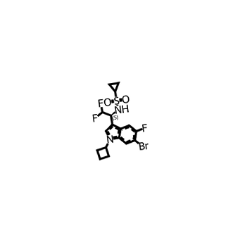 O=S(=O)(N[C@@H](c1cn(C2CCC2)c2cc(Br)c(F)cc12)C(F)F)C1CC1